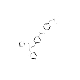 CCCN(CCC)Cc1ccc(NC(=O)c2ccc(CN(Cc3ccc(C)cn3)C(C)c3ncc[nH]3)cc2)cc1